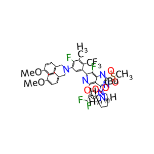 COc1ccc(CN(Cc2ccc(OC)cc2)c2cc(-c3nc4c5c(nc(S(C)(=O)=O)nc5c3F)N3C[C@H]5CC[C@@H]([C@H]3[C@H](C(F)F)O4)N5C(=O)OC(C)(C)C)c(C(F)(F)F)c(C)c2F)cc1